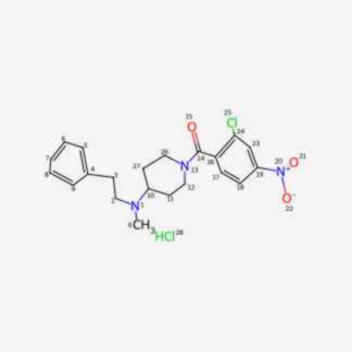 CN(CCc1ccccc1)C1CCN(C(=O)c2ccc([N+](=O)[O-])cc2Cl)CC1.Cl